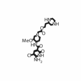 CO[C@H]1CN(CC(=O)OCCC2CNCCN2)CC[C@H]1NC(=O)c1cc(Cl)c(N)[nH]c1=O